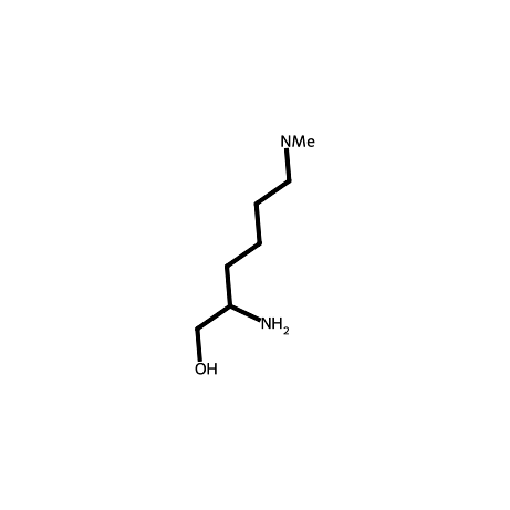 CNCCCCC(N)CO